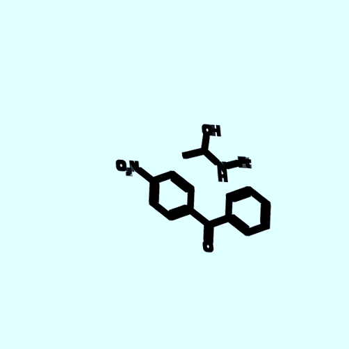 CCNC(C)O.O=C(c1ccccc1)c1ccc([N+](=O)[O-])cc1